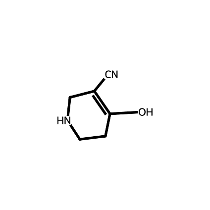 N#CC1=C(O)CCNC1